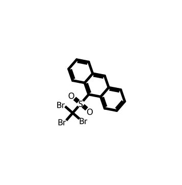 O=S(=O)(c1c2ccccc2cc2ccccc12)C(Br)(Br)Br